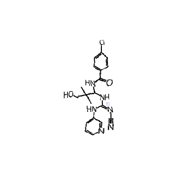 CC(C)(CO)C(NC(=O)c1ccc(Cl)cc1)N/C(=N/C#N)Nc1cccnc1